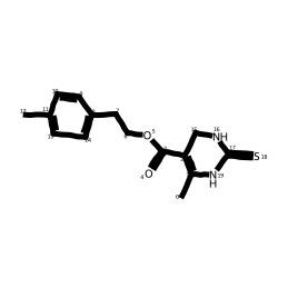 CC1=C(C(=O)OCCc2ccc(C)cc2)CNC(=S)N1